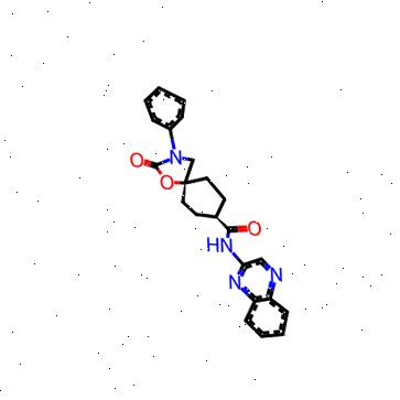 O=C1O[C@]2(CC[C@H](C(=O)Nc3cnc4ccccc4n3)CC2)CN1c1ccccc1